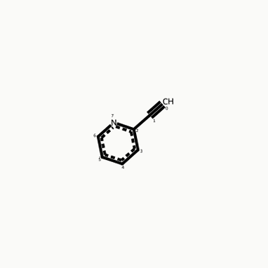 C#Cc1cc[c]cn1